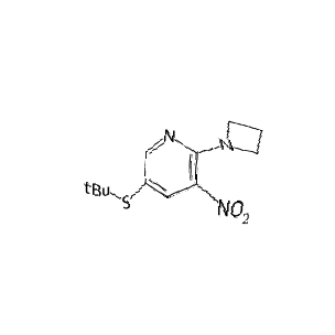 CC(C)(C)Sc1cnc(N2CCC2)c([N+](=O)[O-])c1